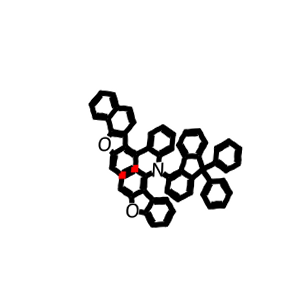 c1ccc(C2(c3ccccc3)c3ccccc3-c3c(N(c4ccccc4-c4cccc5oc6c7ccccc7ccc6c45)c4cccc5oc6ccccc6c45)cccc32)cc1